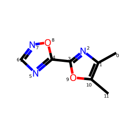 Cc1nc(-c2n[c]no2)oc1C